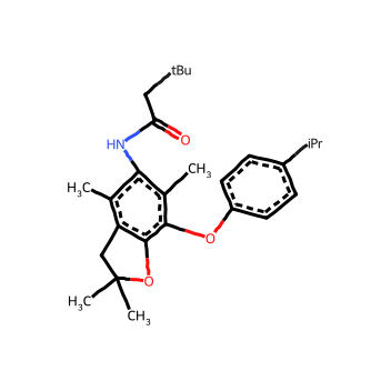 Cc1c2c(c(Oc3ccc(C(C)C)cc3)c(C)c1NC(=O)CC(C)(C)C)OC(C)(C)C2